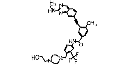 CNc1ncc2ccc(C#Cc3cc(C(=O)Nc4ccc(CN5CCN(CCO)CC5)c(C(F)(F)F)c4)ccc3C)cc2n1